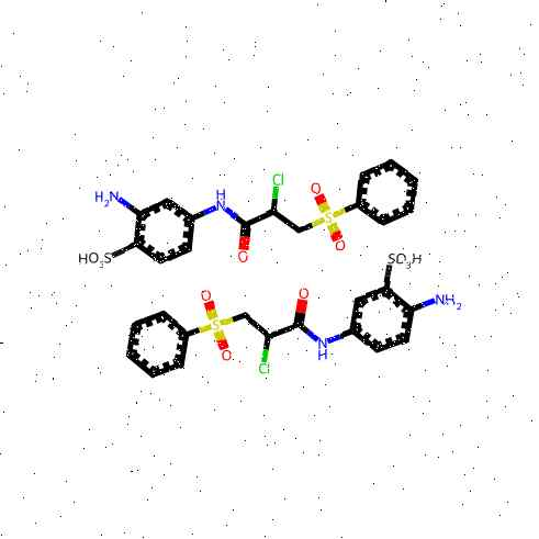 Nc1cc(NC(=O)C(Cl)CS(=O)(=O)c2ccccc2)ccc1S(=O)(=O)O.Nc1ccc(NC(=O)C(Cl)CS(=O)(=O)c2ccccc2)cc1S(=O)(=O)O